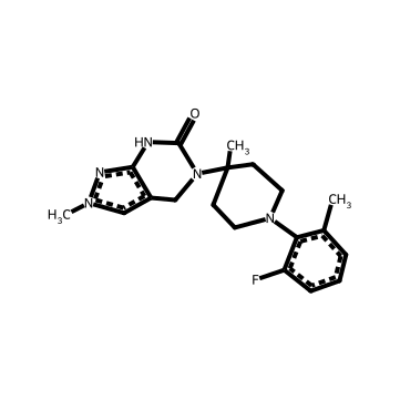 Cc1cccc(F)c1N1CCC(C)(N2Cc3cn(C)nc3NC2=O)CC1